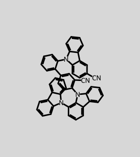 N#Cc1ccc2c(c1)c1ccccc1n2-c1ccccc1-c1ccc(-n2c3ccccc3c3cccc(-n4c5ccccc5c5ccccc54)c32)c(C#N)c1